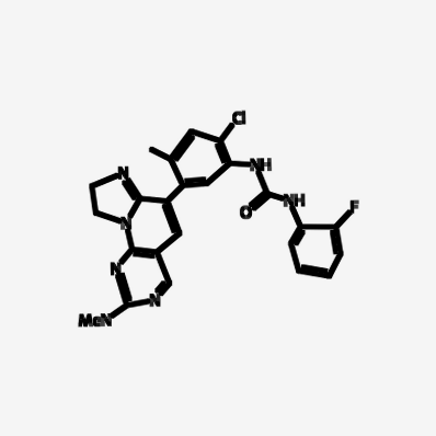 CNc1ncc2c(n1)N1CCN=C1C(c1cc(NC(=O)Nc3ccccc3F)c(Cl)cc1C)=C2